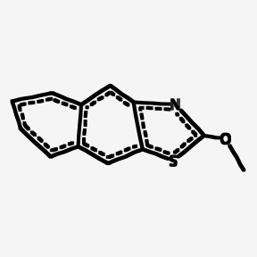 COc1nc2cc3ccccc3cc2s1